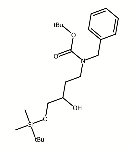 CC(C)(C)OC(=O)N(CCC(O)CO[Si](C)(C)C(C)(C)C)Cc1ccccc1